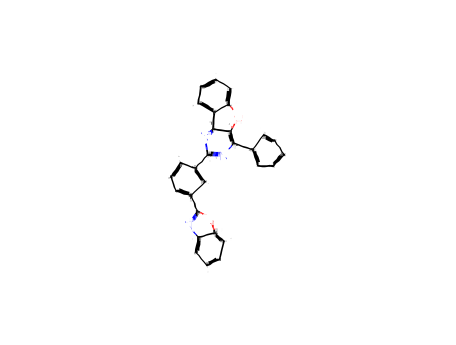 c1ccc(-c2nc(-c3cccc(-c4nc5ccccc5o4)c3)nc3c2oc2ccccc23)cc1